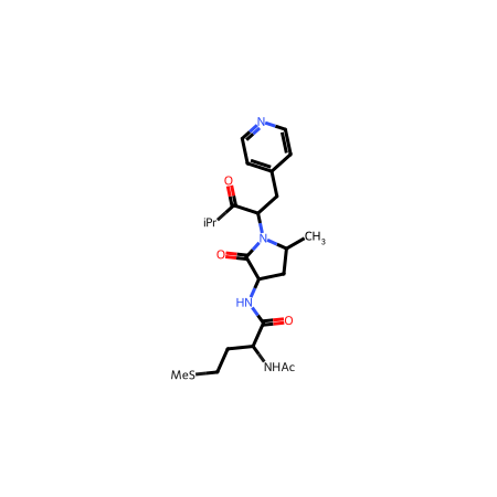 CSCCC(NC(C)=O)C(=O)NC1CC(C)N(C(Cc2ccncc2)C(=O)C(C)C)C1=O